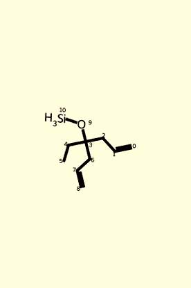 C=CCC(CC)(CC=C)O[SiH3]